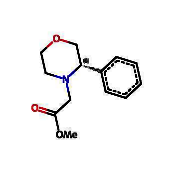 COC(=O)CN1CCOC[C@@H]1c1ccccc1